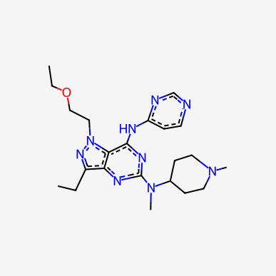 CCOCCn1nc(CC)c2nc(N(C)C3CCN(C)CC3)nc(Nc3ccncn3)c21